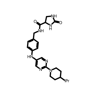 CC(C)C1CCN(c2ncc(Nc3ccc(CNC(=O)C4CNC(=O)N4)cc3)cn2)CC1